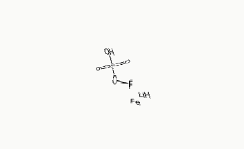 O=S(=O)(O)OF.[Fe].[LiH]